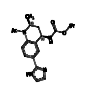 CC(=O)N1c2ccc(-c3ncc[nH]3)cc2[C@H](NC(=O)OC(C)C)C[C@@H]1C